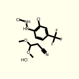 COC(CC#N)OC.Cl.FC(F)(F)c1ccc(NNCl)c(Cl)c1